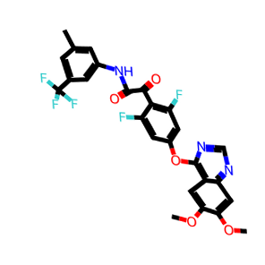 COc1cc2ncnc(Oc3cc(F)c(C(=O)C(=O)Nc4cc(C)cc(C(F)(F)F)c4)c(F)c3)c2cc1OC